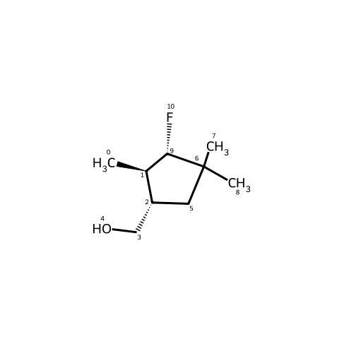 C[C@@H]1[C@@H](CO)CC(C)(C)[C@H]1F